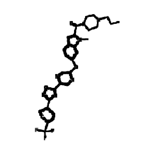 CCCN1CCN(C(=O)c2cc3ccc(Oc4cnc(-c5nc(-c6ccc(C(F)(F)F)cc6)no5)cn4)cc3n2C)CC1